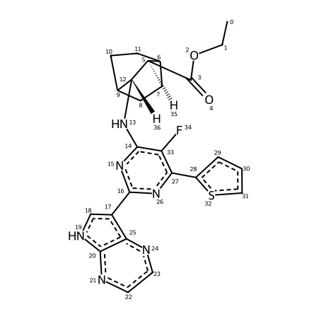 CCOC(=O)[C@@H]1C2CCC(CC2)[C@H]1Nc1nc(-c2c[nH]c3nccnc23)nc(-c2cccs2)c1F